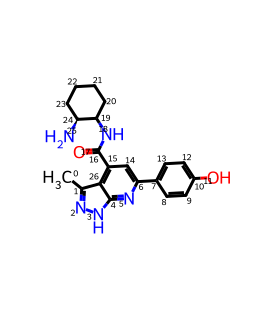 Cc1n[nH]c2nc(-c3ccc(O)cc3)cc(C(=O)NC3CCCC[C@@H]3N)c12